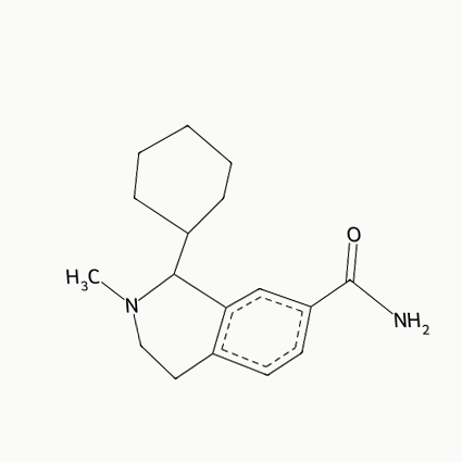 CN1CCc2ccc(C(N)=O)cc2C1C1CCCCC1